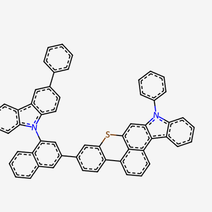 c1ccc(-c2ccc3c(c2)c2ccccc2n3-c2cc(-c3ccc4c(c3)Sc3cc5c(c6cccc-4c36)c3ccccc3n5-c3ccccc3)cc3ccccc23)cc1